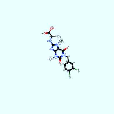 C[C@@H](Nc1nc2c(c(=O)n(Cc3ccc(Cl)c(Cl)c3)c(=O)n2C)n1C)C(=O)O